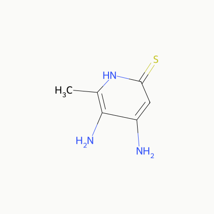 Cc1[nH]c(=S)cc(N)c1N